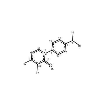 Cc1ccn(-c2ccc(C(C)C)cc2)c(=O)c1C